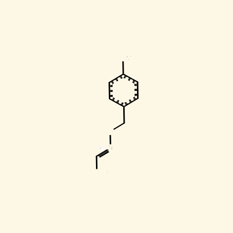 CCOC(=O)/C=N/OCc1ccc(OC)cc1